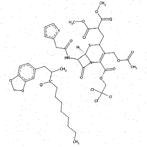 CCCCCCCC[S+]([O-])C(C)Cc1ccc2c(c1)OCO2.COC(=O)C(CC1S[C@@H]2C(NC(=O)Cc3cccs3)C(=O)N2C(C(=O)OCC(Cl)(Cl)Cl)=C1COC(C)=O)C(=O)OC